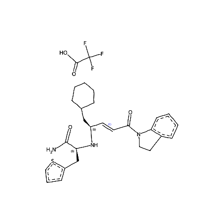 NC(=O)[C@H](Cc1cccs1)N[C@H](/C=C/C(=O)N1CCc2ccccc21)CC1CCCCC1.O=C(O)C(F)(F)F